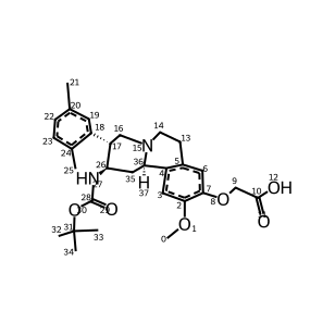 COc1cc2c(cc1OCC(=O)O)CCN1C[C@@H](c3cc(C)ccc3C)[C@H](NC(=O)OC(C)(C)C)C[C@H]21